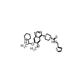 COc1cc2c(N3CCN(C(=S)NCc4cccs4)CC3)ncnc2cc1OC(C)C1CCCCN1